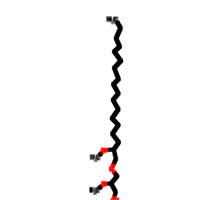 CCCCCCCCCCCCCCCCC(COCC(CO)OC)OC